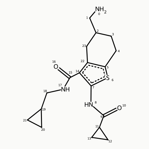 NCC1CCc2sc(NC(=O)C3CC3)c(C(=O)NCC3CC3)c2C1